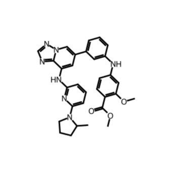 COC(=O)c1ccc(Nc2cccc(-c3cc(Nc4cccc(N5CCCC5C)n4)c4ncnn4c3)c2)cc1OC